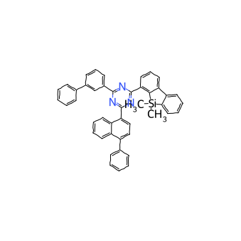 C[Si]1(C)c2ccccc2-c2cccc(-c3nc(-c4cccc(-c5ccccc5)c4)nc(-c4ccc(-c5ccccc5)c5ccccc45)n3)c21